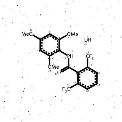 COc1cc(OC)c(PC(=O)c2c(C(F)(F)F)cccc2C(F)(F)F)c(OC)c1.[LiH]